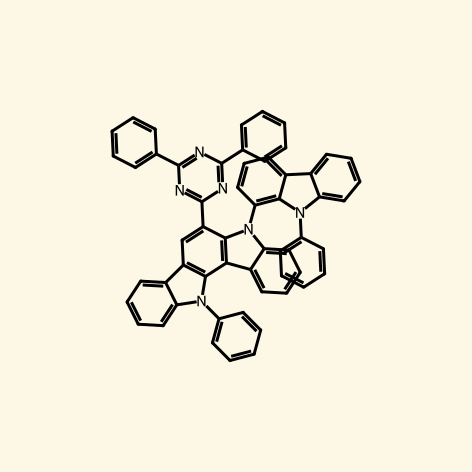 c1ccc(-c2nc(-c3ccccc3)nc(-c3cc4c5ccccc5n(-c5ccccc5)c4c4c5ccccc5n(-c5cccc6c7ccccc7n(-c7ccccc7)c56)c34)n2)cc1